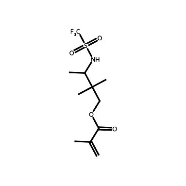 C=C(C)C(=O)OCC(C)(C)C(C)NS(=O)(=O)C(F)(F)F